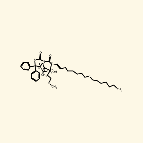 CCCCCCCSCCCCCCC=C[C@H](C(=O)N1C(=O)SC(c2ccccc2)(c2ccccc2)[C@@H]1C(C)C)[C@@](O)(CCOC)C(=O)O